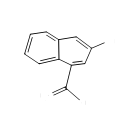 C=C(C)c1cc(O)cc2ccccc12